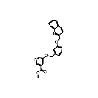 COC(=O)c1cncc(OCc2cccc(OCc3ccc4ccccc4n3)c2)c1